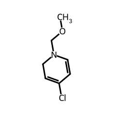 COCN1C=CC(Cl)=CC1